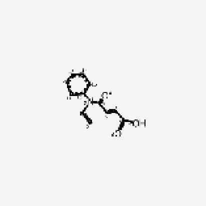 C=CN(C(=O)C=CC(=O)O)c1ccccc1